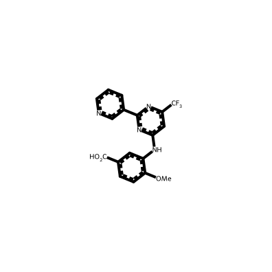 COc1ccc(C(=O)O)cc1Nc1cc(C(F)(F)F)nc(-c2cccnc2)n1